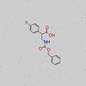 O=C(NCC(C(=O)O)c1ccc(F)cc1)OCc1ccccc1